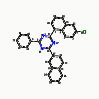 Clc1ccc2c(-c3nc(-c4ccccc4)nc(-c4ccc5ccccc5c4)n3)cccc2c1